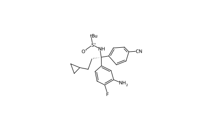 CC(C)(C)[S+]([O-])N[C@@](CCC1CC1)(c1ccc(C#N)cc1)c1ccc(F)c(N)c1